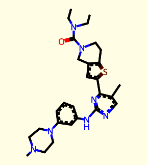 CCN(CC)C(=O)N1CCc2sc(-c3nc(Nc4cccc(N5CCN(C)CC5)c4)ncc3C)cc2C1